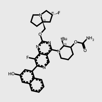 CC(C)(C)[C@H]1C(OC(N)=O)CCCN1c1nc(OC[C@@]23CCCN2C[C@H](F)C3)nc2c(F)c(-c3cc(O)cc4ccccc34)ncc12